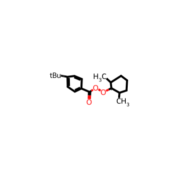 CC1CCCC(C)[C]1OOC(=O)c1ccc(C(C)(C)C)cc1